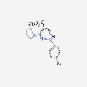 CCOC(=O)c1cnc(-c2ccc(Br)cc2)nc1N1CCCC1